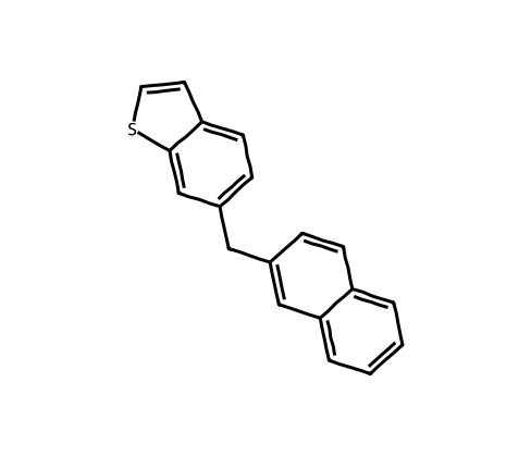 c1ccc2cc(Cc3ccc4ccsc4c3)ccc2c1